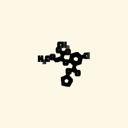 CO/C=C(/Oc1ccc(Cl)cc1C(=O)OC1CCCC1)C(=O)OC